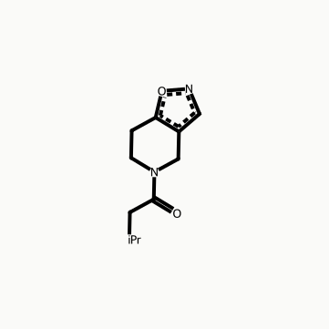 CC(C)CC(=O)N1CCc2oncc2C1